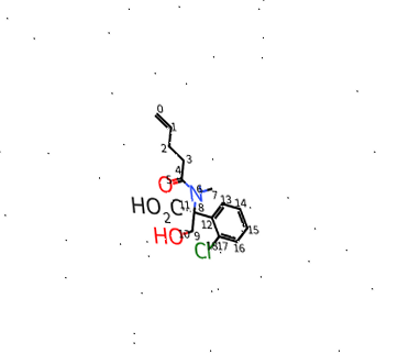 C=CCCC(=O)N(C)[C@@](CO)(C(=O)O)c1ccccc1Cl